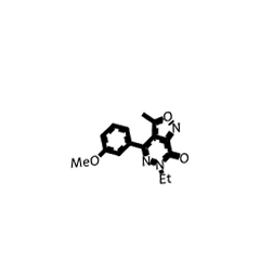 CCn1nc(-c2cccc(OC)c2)c2c(C)onc2c1=O